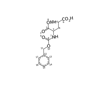 COC(=O)C(CCC(=O)O)NC(=O)OCc1ccccc1